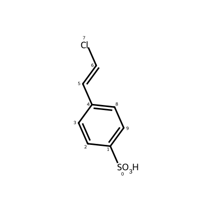 O=S(=O)(O)c1ccc(C=CCl)cc1